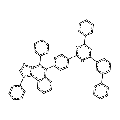 c1ccc(-c2cccc(-c3nc(-c4ccccc4)nc(-c4ccc(-c5c(-c6ccccc6)n6ncc(-c7ccccc7)c6c6ccccc56)cc4)n3)c2)cc1